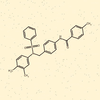 Cc1ccc(C(=O)Nc2ccc(CN(c3ccc(C)c(C)c3)S(=O)(=O)c3ccccc3)cc2)cc1